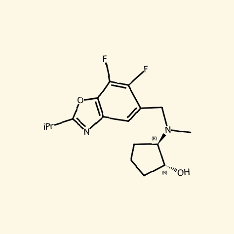 CC(C)c1nc2cc(CN(C)[C@@H]3CCC[C@H]3O)c(F)c(F)c2o1